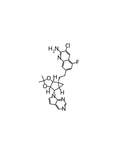 CC1(C)O[C@H]2[C@H](n3ccc4cncnc43)[C@H]3C[C@@]3(CCc3cc(F)c4cc(Cl)c(N)nc4c3)[C@H]2O1